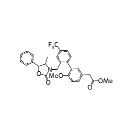 COC(=O)Cc1ccc(OC)c(-c2ccc(C(F)(F)F)cc2CN2C(=O)OC(c3ccccc3)C2C)c1